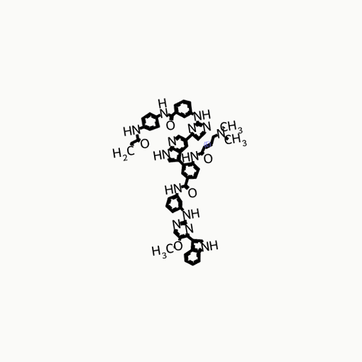 C=CC(=O)Nc1ccc(NC(=O)c2cccc(Nc3nccc(-c4cnc5[nH]cc(-c6cc(C(=O)Nc7cccc(Nc8ncc(OC)c(-c9c[nH]c%10ccccc9%10)n8)c7)ccc6NC(=O)/C=C/CN(C)C)c5c4)n3)c2)cc1